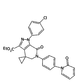 CCOC(=O)c1nn(-c2ccc(Cl)cc2)c2c1C1(CC1)CN(c1ccc(-n3ccccc3=O)cc1)C2=O